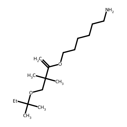 C=C(OCCCCCCN)C(C)(C)COC(C)(C)CC